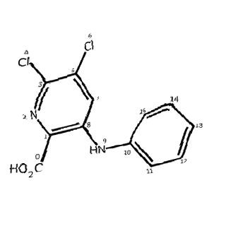 O=C(O)c1nc(Cl)c(Cl)cc1Nc1ccccc1